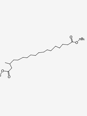 CCCCOC(=O)CCCCCCCCCCCCCCC(C)CC(=O)OCCCC